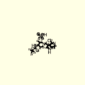 CC1CN(Cc2c[nH]c3ncnc(Cl)c23)CCC1NC(=O)OC(C)(C)C.CS(=O)(=O)O